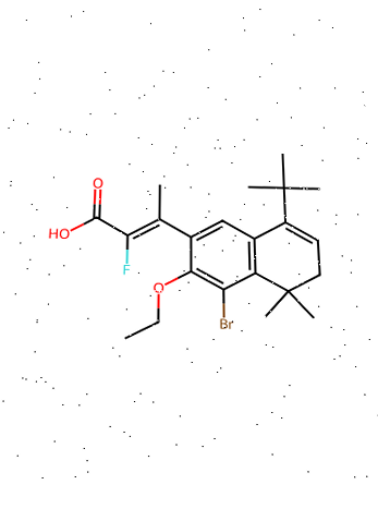 CCOc1c(C(C)=C(F)C(=O)O)cc2c(c1Br)C(C)(C)CC=C2C(C)(C)C